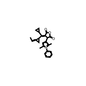 CC=C1CC1/C(=C1/C(=O)OC(=O)C1c1cc(C)n(-c2ccccc2)c1C)C1CC1